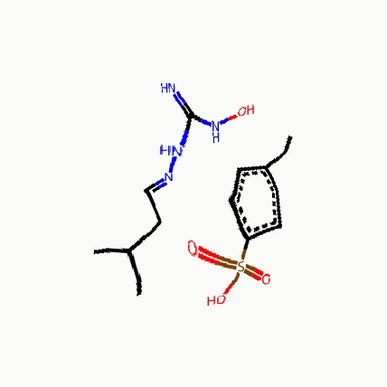 CC(C)C/C=N/NC(=N)NO.Cc1ccc(S(=O)(=O)O)cc1